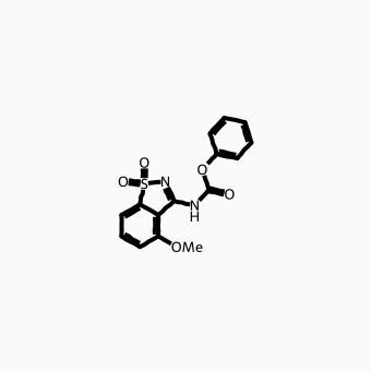 COc1cccc2c1C(NC(=O)Oc1ccccc1)=NS2(=O)=O